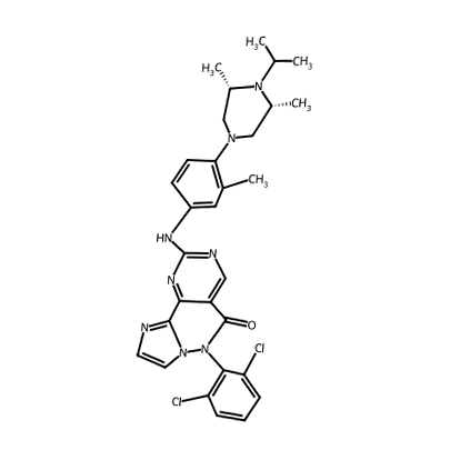 Cc1cc(Nc2ncc3c(=O)n(-c4c(Cl)cccc4Cl)n4ccnc4c3n2)ccc1N1C[C@@H](C)N(C(C)C)[C@@H](C)C1